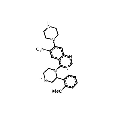 COc1ccccc1C1CNCCN1c1ncnc2cc(N3CCNCC3)c([N+](=O)[O-])cc12